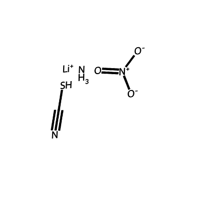 N.N#CS.O=[N+]([O-])[O-].[Li+]